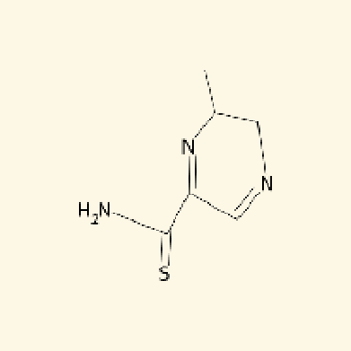 CC1CN=CC(C(N)=S)=N1